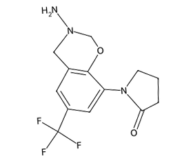 NN1COc2c(cc(C(F)(F)F)cc2N2CCCC2=O)C1